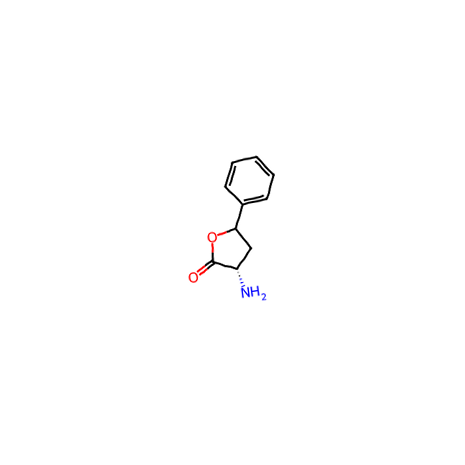 N[C@H]1CC(c2ccccc2)OC1=O